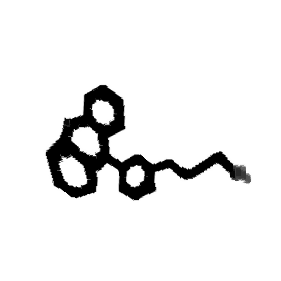 CCCCc1cccc(-c2c3ccccc3nc3ccccc23)c1